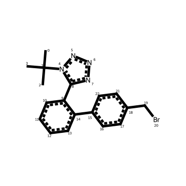 CC(C)(C)n1nnnc1-c1ccccc1-c1ccc(CBr)cc1